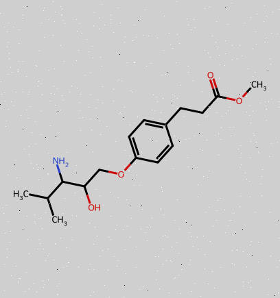 COC(=O)CCc1ccc(OCC(O)C(N)C(C)C)cc1